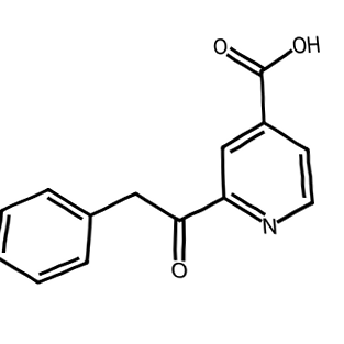 O=C(O)c1ccnc(C(=O)Cc2ccccc2)c1